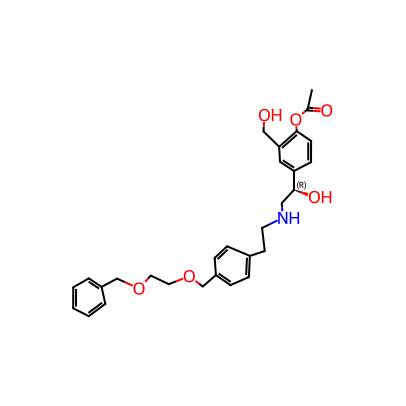 CC(=O)Oc1ccc([C@@H](O)CNCCc2ccc(COCCOCc3ccccc3)cc2)cc1CO